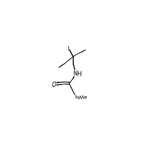 CNC(=O)NC(C)(C)I